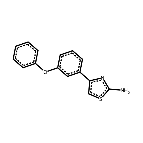 Nc1nc(-c2cccc(Oc3ccccc3)c2)cs1